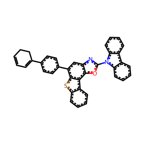 C1=CCCC(c2ccc(-c3cc4nc(-n5c6ccccc6c6ccccc65)oc4c4c3sc3ccccc34)cc2)=C1